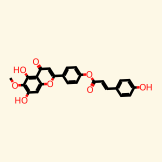 COc1c(O)cc2oc(-c3ccc(OC(=O)C=Cc4ccc(O)cc4)cc3)cc(=O)c2c1O